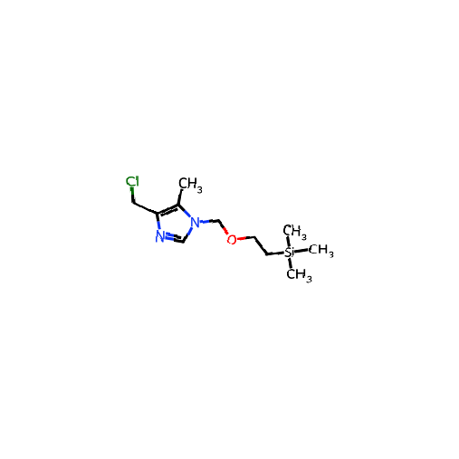 Cc1c(CCl)ncn1COCC[Si](C)(C)C